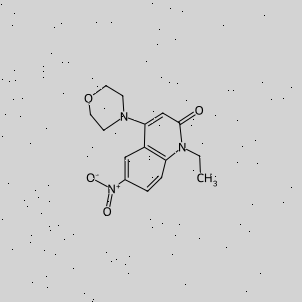 CCn1c(=O)cc(N2CCOCC2)c2cc([N+](=O)[O-])ccc21